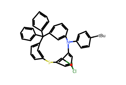 CC(C)(C)c1ccc(N2c3cccc(c3)C(c3ccccc3)(c3ccccc3)c3cccc(c3)Sc3cc(Cl)cc2c3Cl)cc1